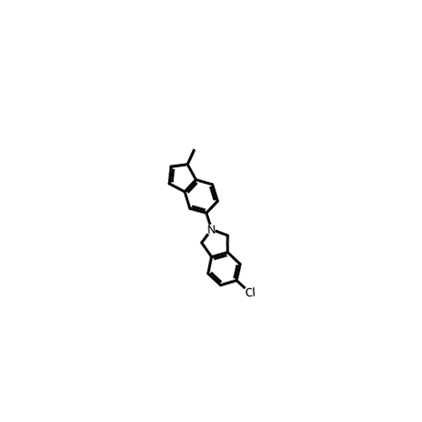 CC1C=Cc2cc(N3Cc4ccc(Cl)cc4C3)ccc21